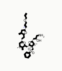 C=CCOC/C=C/[C@H]1CC(=C)C(CC[C@H]2C[C@@H](C)C(=C)C(C[C@@H]3O[C@H](C[C@H](O)CN)[C@H](C)[C@H]3CS(=O)(=O)c3ccccc3)O2)O1